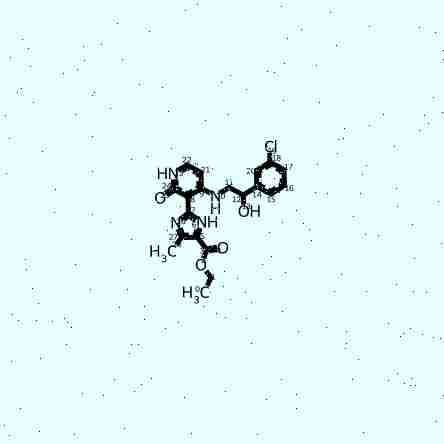 CCOC(=O)c1[nH]c(-c2c(NCC(O)c3cccc(Cl)c3)cc[nH]c2=O)nc1C